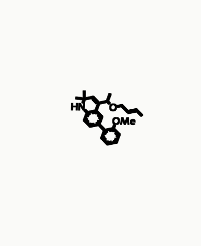 CC=CCOC(C)C1=CC(C)(C)Nc2ccc(-c3ccccc3OC)cc21